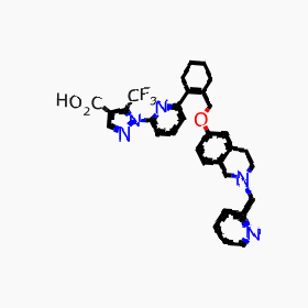 O=C(O)c1cnn(-c2cccc(C3=C(COc4ccc5c(c4)CCN(Cc4ccccn4)C5)CCCC3)n2)c1C(F)(F)F